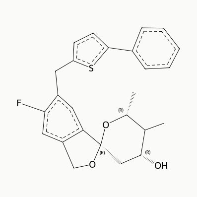 CC1[C@H](O)C[C@@]2(OCc3cc(F)c(Cc4ccc(-c5ccccc5)s4)cc32)O[C@@H]1C